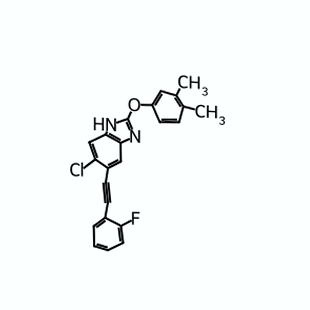 Cc1ccc(Oc2nc3cc(C#Cc4ccccc4F)c(Cl)cc3[nH]2)cc1C